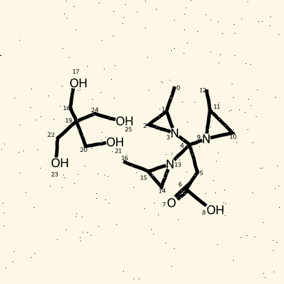 CC1CN1C(CC(=O)O)(N1CC1C)N1CC1C.OCC(CO)(CO)CO